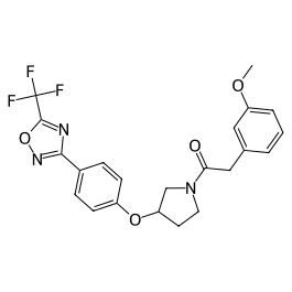 COc1cccc(CC(=O)N2CCC(Oc3ccc(-c4noc(C(F)(F)F)n4)cc3)C2)c1